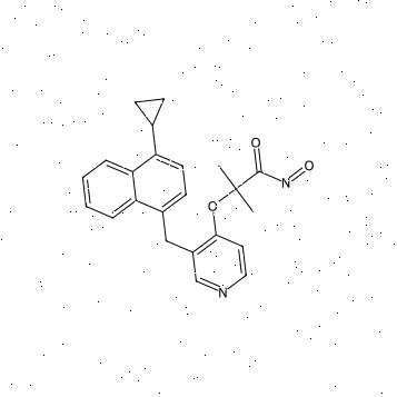 CC(C)(Oc1ccncc1Cc1ccc(C2CC2)c2ccccc12)C(=O)N=O